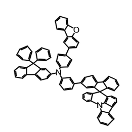 c1ccc(C2(c3ccccc3)c3ccccc3-c3ccc(N(c4ccc(-c5ccc6oc7ccccc7c6c5)cc4)c4cccc(-c5ccc6c(c5)C5(c7ccccc7-6)c6ccccc6-n6c7ccccc7c7cccc5c76)c4)cc32)cc1